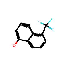 [O]c1cccc2c(C(F)(F)F)cccc12